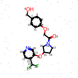 O=C(COc1ccc(CO)cc1)N1CCC(Oc2cnccc2C(F)F)C1